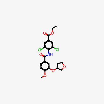 CCOC(=O)c1cc(Cl)c(NC(=O)c2ccc(OC)c(OC3CCOC3)c2)c(Cl)c1